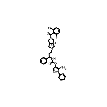 Nc1c(OC(=O)NC(CCN2CC3CN(C(=O)c4c(F)cccc4Cl)C[C@@H]3C2)c2ccccc2)cnn1-c1ccccc1